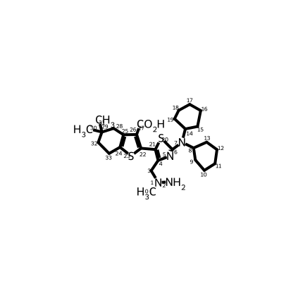 CN(N)Cc1nc(N(C2CCCCC2)C2CCCCC2)sc1-c1sc2c(c1C(=O)O)CC(C)(C)CC2